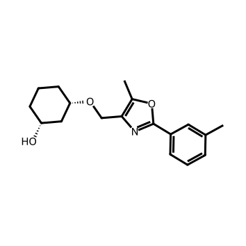 Cc1cccc(-c2nc(CO[C@H]3CCC[C@@H](O)C3)c(C)o2)c1